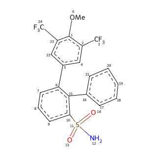 COc1c(C(F)(F)F)cc(-c2cccc(S(N)(=O)=O)c2-c2ccccc2)cc1C(F)(F)F